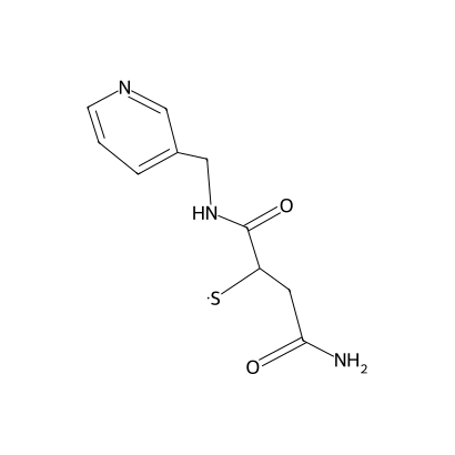 NC(=O)CC([S])C(=O)NCc1cccnc1